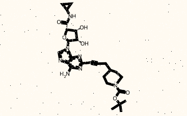 CC(C)(C)OC(=O)N1CCC(CC#Cc2nc(N)c3ncn(C4O[C@H](C(=O)NC5CC5)[C@H](O)[C@@H]4O)c3n2)CC1